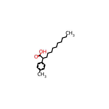 CCCCCCCCCCC(C(=O)O)c1ccc(C)cc1